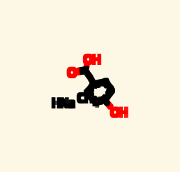 C.O=C(O)c1ccc(O)cc1.[NaH]